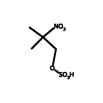 CC(C)(COS(=O)(=O)O)[N+](=O)[O-]